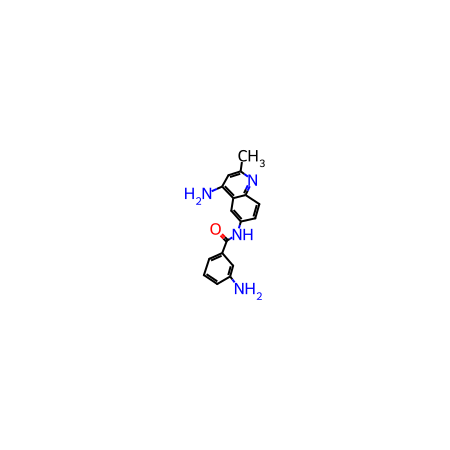 Cc1cc(N)c2cc(NC(=O)c3cccc(N)c3)ccc2n1